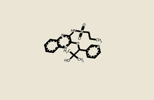 CCCS(=O)(=O)Nc1nc2ccccc2nc1OC(c1cccnc1)C(C)(C)O